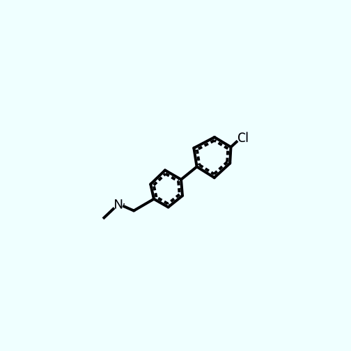 C[N]Cc1ccc(-c2ccc(Cl)cc2)cc1